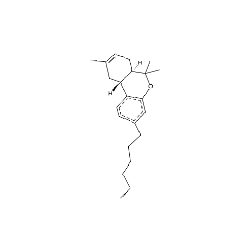 CCCCCCc1ccc2c(c1)OC(C)(C)[C@@H]1CC=C(C)C[C@@H]21